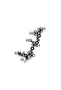 COc1cc(SOOO)c(C)cc1NC(=O)C(/N=N/c1ccc(C(=O)Nc2ccc(/N=N/c3ccc4cc(S(=O)(=O)O)cc(S(=O)(=O)O)c4c3)cc2OCCO)cc1)C(C)=O